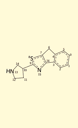 c1ccc2c(c1)Cc1sc(C3CCNC3)nc1-2